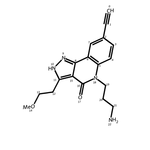 C#Cc1ccc2c(c1)c1n[nH]c(CCOC)c1c(=O)n2CCCN